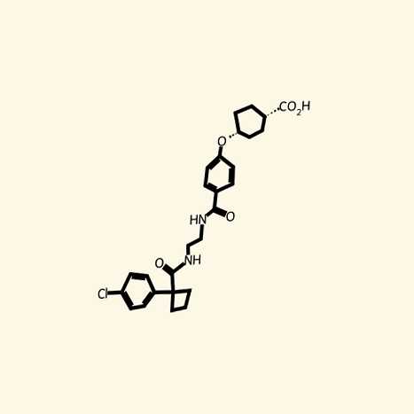 O=C(NCCNC(=O)C1(c2ccc(Cl)cc2)CCC1)c1ccc(O[C@H]2CC[C@@H](C(=O)O)CC2)cc1